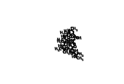 CN[C@@H](P)C(=O)N[C@H](C(=O)N[C@@H](C)C(=O)NCP(=O)(O)CC(CC(C)C)C(=O)N[C@@H](C)C(=O)N[C@@H](C)C(=O)N[C@@H](C)C(=O)N[C@@H](C)C(C)=O)P(P)P